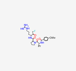 COc1ccc(C(=O)NC(C(=O)N2CCC[C@H]2C(=O)NC(CCCNC(=N)N)C(=O)CF)C(C)C)cc1